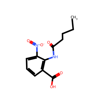 CCCCC(=O)Nc1c(C(=O)O)cccc1[N+](=O)[O-]